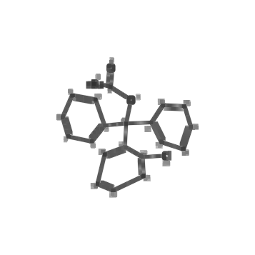 CCCCC(=O)OC(c1ccccc1)(c1ccccc1)c1ccccc1Cl